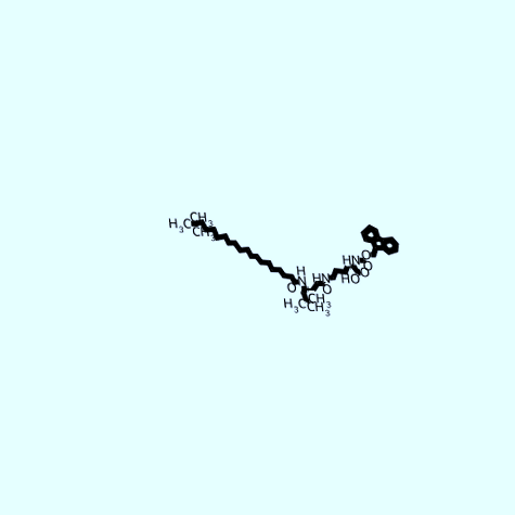 CC(C)(C)CCCCCCCCCCCCCCCCCC(=O)N[C@@H](CCC(=O)NCCCC[C@H](NC(=O)OCC1c2ccccc2-c2ccccc21)C(=O)O)CC(C)(C)C